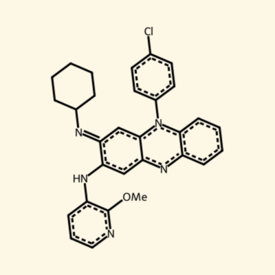 COc1ncccc1Nc1cc2nc3ccccc3n(-c3ccc(Cl)cc3)c-2c/c1=N\C1CCCCC1